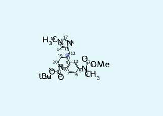 COC(=O)N(C)c1ccc2c(c1)/C(=C/c1cn(C)cn1)CCN2C(=O)OC(C)(C)C